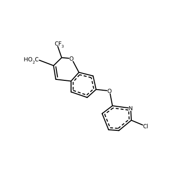 O=C(O)C1=Cc2ccc(Oc3cccc(Cl)n3)cc2OC1C(F)(F)F